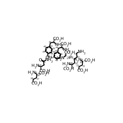 CC(C)[C@H](N)C(=O)O.NC(=O)C[C@H](N)C(=O)O.NCCCC[C@H](N)C(=O)O.N[C@@H](CCC(=O)O)C(=O)O.N[C@@H](CCC(=O)O)C(=O)O.N[C@@H](Cc1ccc(O)cc1)C(=O)O.N[C@@H](Cc1ccccc1)C(=O)O